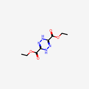 CCOC(=O)C1=NNC(C(=O)OCC)=NN1